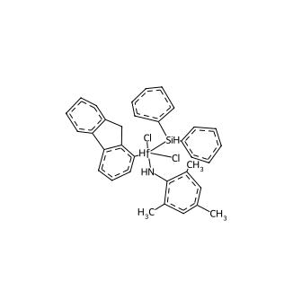 Cc1cc(C)c([NH][Hf]([Cl])([Cl])([c]2cccc3c2Cc2ccccc2-3)[SiH](c2ccccc2)c2ccccc2)c(C)c1